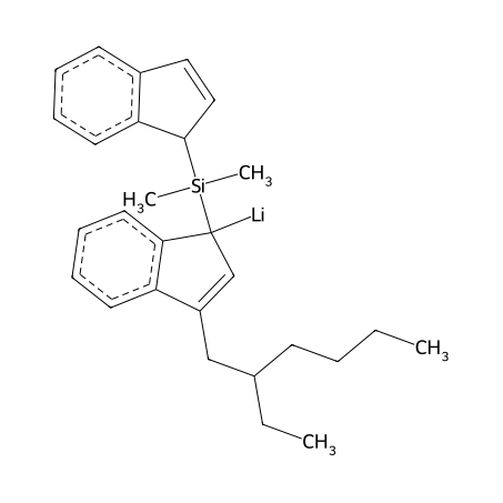 [Li][C]1([Si](C)(C)C2C=Cc3ccccc32)C=C(CC(CC)CCCC)c2ccccc21